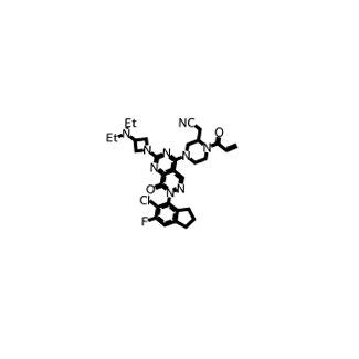 C=CC(=O)N1CCN(c2nc(N3CC(N(CC)CC)C3)nc3c(=O)n(-c4c(Cl)c(F)cc5c4CCC5)ncc23)CC1CC#N